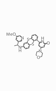 COc1cncc(C(C)Nc2ccc3c(c2)Sc2cccc(-c4cc(N5CCOCC5)cc(=O)[nH]4)c2S3)c1